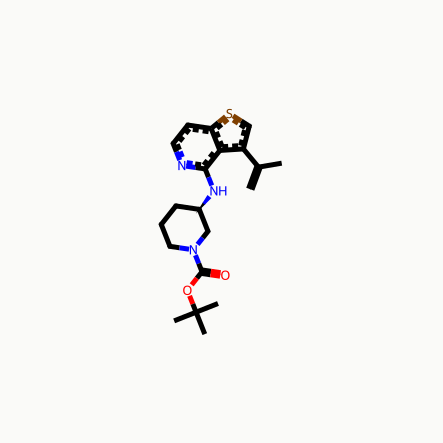 C=C(C)c1csc2ccnc(N[C@@H]3CCCN(C(=O)OC(C)(C)C)C3)c12